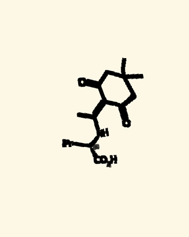 CC(N[C@H](C(=O)O)C(C)C)=C1C(=O)CC(C)(C)CC1=O